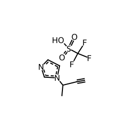 C#CC(C)n1ccnc1.O=S(=O)(O)C(F)(F)F